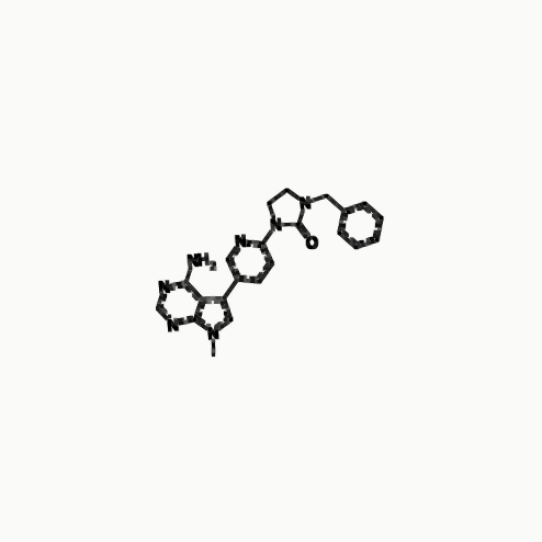 Cn1cc(-c2ccc(N3CCN(Cc4ccccc4)C3=O)nc2)c2c(N)ncnc21